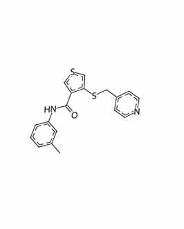 Cc1cccc(NC(=O)c2cscc2SCc2ccncc2)c1